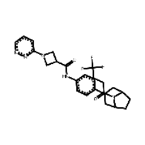 O=C(Nc1ccc(C2CC3CCC(C2)N3C(=O)CCC(F)(F)F)cc1)C1CN(c2cccnn2)C1